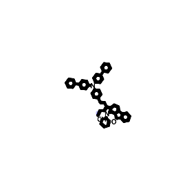 C/C=C\c1c(C=Cc2ccc(N(c3ccc(-c4ccccc4)cc3)c3ccc(-c4ccccc4)cc3)cc2)c2ccc3c(c2n1C1C=CC=CC1)C(=O)c1ccccc1-3